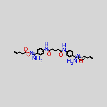 C=CCCC(=O)O/N=C(\N)c1ccc(NC(=O)CCCC(=O)Nc2ccc(/C(N)=[N]/[Co](=[O])[CH2]CC=C)cc2)cc1